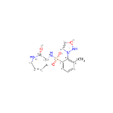 Cc1cccc(S(=O)(=O)N[C@@H]2CCCCNC2=O)c1N1C=CON1